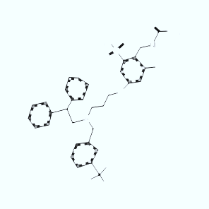 CC(=O)NCc1c(F)cc(OCCCN(Cc2cccc(C(F)(F)F)c2)CC(c2ccccc2)c2ccccc2)cc1S(C)(=O)=O